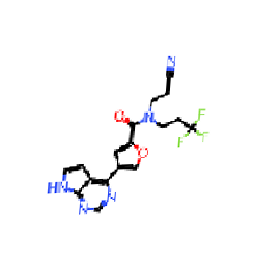 N#CCCN(CCC(F)(F)F)C(=O)c1cc(-c2ncnc3[nH]ccc23)co1